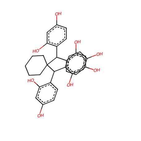 Oc1ccc(C(c2ccc(O)cc2O)C2(C(c3ccc(O)cc3O)c3ccc(O)cc3O)CCCCC2)c(O)c1